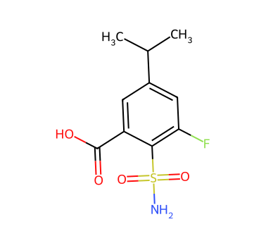 CC(C)c1cc(F)c(S(N)(=O)=O)c(C(=O)O)c1